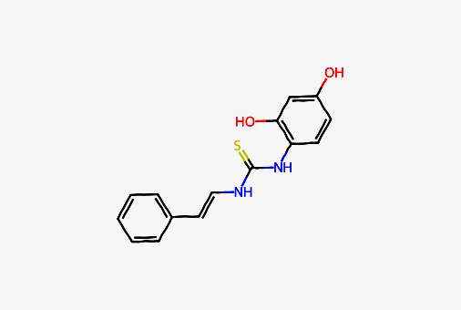 Oc1ccc(NC(=S)NC=Cc2ccccc2)c(O)c1